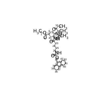 CCOC(=O)C1=C[C@@H](OC(CC)CC)[C@H](NC(C)=O)[C@@H](NC(=O)CCCCNC(=O)OCC2c3ccccc3-c3ccccc32)C1